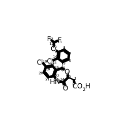 O=C(O)C[C@@H]1O[C@@H](c2cccc(OC(F)F)c2Cl)c2cc(Cl)ccc2NC1=O